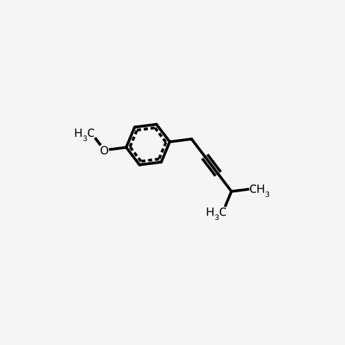 COc1ccc(CC#CC(C)C)cc1